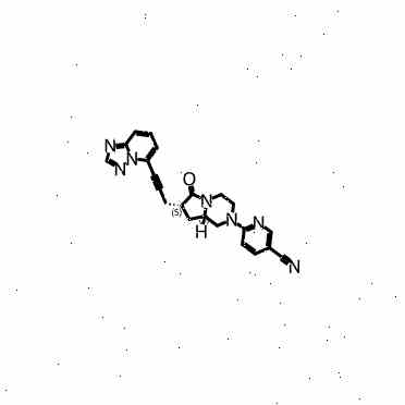 N#Cc1ccc(N2CCN3C(=O)[C@@H](CC#Cc4cccc5ncnn45)C[C@H]3C2)nc1